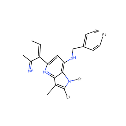 C/C=C(\C(C)=N)c1cc(NCC(/C=C\CC)=C/C(C)CC)c2c(n1)c(C)c(CC)n2C(C)C